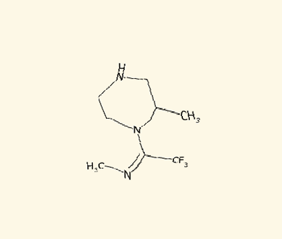 C/N=C(\N1CCNCC1C)C(F)(F)F